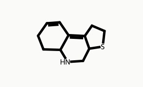 C1=CC2=C3CCSC3CNC2CC1